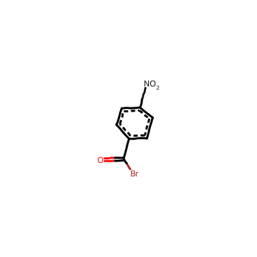 O=C(Br)c1ccc([N+](=O)[O-])cc1